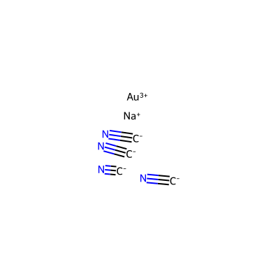 [Au+3].[C-]#N.[C-]#N.[C-]#N.[C-]#N.[Na+]